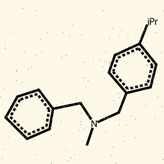 CC(C)c1ccc(CN(C)Cc2ccccc2)cc1